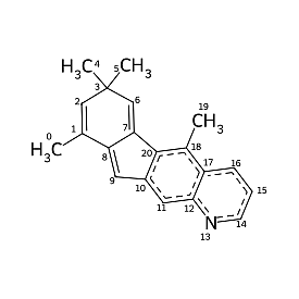 CC1=CC(C)(C)C=C2C1=Cc1cc3ncccc3c(C)c12